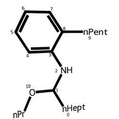 CCCCCCCC(Nc1ccccc1CCCCC)OCCC